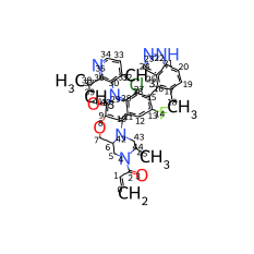 C=CC(=O)N1CC2COc3c(c4cc(F)c(-c5c(C)ccc6[nH]ncc56)c(Cl)c4n(-c4c(C)ccnc4C(C)C)c3=O)N2CC1C